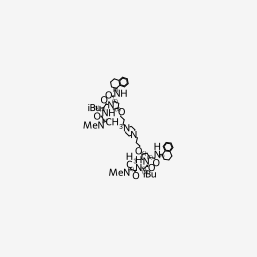 CC[C@H](C)[C@H](NC(=O)[C@H](C)NC)C(=O)N1C[C@@H](OCCCN2CCN(CCCO[C@H]3C[C@@H](C(=O)N[C@@H]4CCCc5ccccc54)N(C(=O)[C@@H](NC(=O)[C@H](C)NC)[C@@H](C)CC)C3)CC2)C[C@H]1C(=O)N[C@@H]1CCCc2ccccc21